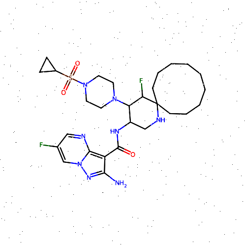 Nc1nn2cc(F)cnc2c1C(=O)NC1CNC2(CCCCCCCCC2)C(F)C1N1CCN(S(=O)(=O)C2CC2)CC1